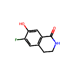 O=C1NCCc2cc(F)c(O)cc21